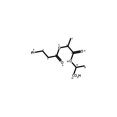 CC(C)CCC(=O)OC(C)C(=O)OC(C)C(=O)O